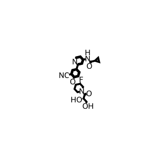 N#Cc1cc(-c2cc(NC(=O)C3CC3)ccn2)ccc1O[C@H]1CCN(C(=O)[C@@H](O)CO)C[C@H]1F